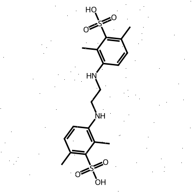 Cc1ccc(NCCNc2ccc(C)c(S(=O)(=O)O)c2C)c(C)c1S(=O)(=O)O